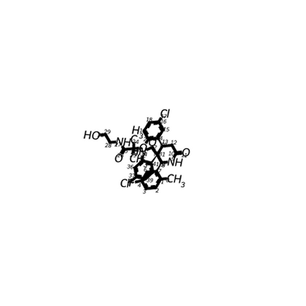 Cc1ccc(F)cc1[C@@H]1NC(=O)C[C@H](c2cc(Cl)ccc2OC(C)(C)C(=O)NCCO)[C@@]12C(=O)Nc1cc(Cl)ccc12